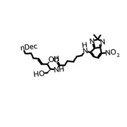 CCCCCCCCCCCCC/C=C/[C@@H](O)[C@H](CO)NC(=O)CCCCCNc1ccc([N+](=O)[O-])c2c1=NC(C)(C)N=2